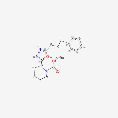 CC(C)(C)OC(=O)N1CCCCC1c1nnc(CCCc2ccccc2)o1